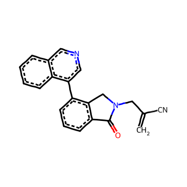 C=C(C#N)CN1Cc2c(cccc2-c2cncc3ccccc23)C1=O